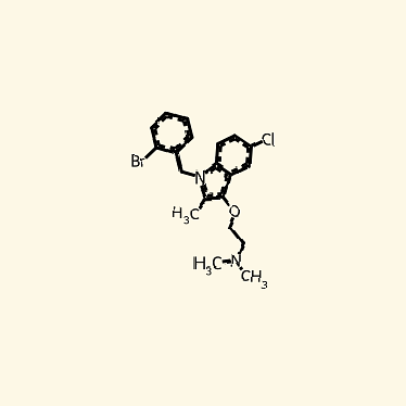 Cc1c(OCCN(C)C)c2cc(Cl)ccc2n1Cc1ccccc1Br